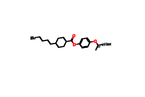 CCCCCC[C@@H](C)Oc1ccc(OC(=O)C2CCC(CCCCC(C)CC)CC2)cc1